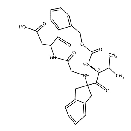 CC(C)[C@H](NC(=O)OCc1ccccc1)C(=O)C1(NCC(=O)NC(C=O)CC(=O)O)Cc2ccccc2C1